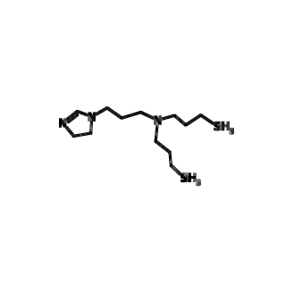 [SiH3]CCCN(CCC[SiH3])CCCN1C=NCC1